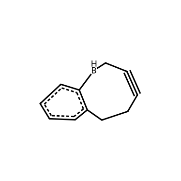 B1CC#CCCc2ccccc21